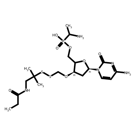 CCC(=O)NCC(C)(C)SSCO[C@@H]1C[C@H](n2ccc(N)nc2=O)OC1COP(=O)(O)C(C)N